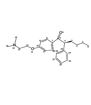 CCCC[C@H](C(=O)c1ccc(OCCN(C)C)cc1)c1ccccc1